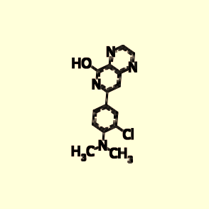 CN(C)c1ccc(-c2cc3nccnc3c(O)n2)cc1Cl